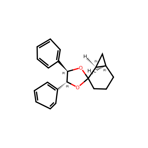 C[C@]12CCCC3(O[C@H](c4ccccc4)[C@@H](c4ccccc4)O3)[C@H]1C2